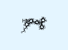 CCCCc1ccc2[nH]c3ccc(-c4ccc(N(c5ccccc5)c5ccccc5)cc4)cc3c2c1